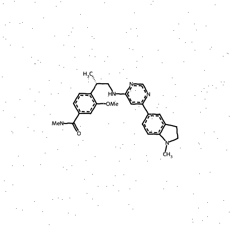 CNC(=O)c1ccc([C@H](C)CNc2cc(-c3ccc4c(c3)CCN4C)ncn2)c(OC)c1